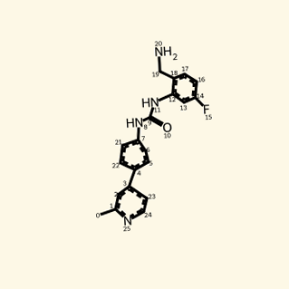 Cc1cc(-c2ccc(NC(=O)Nc3cc(F)ccc3CN)cc2)ccn1